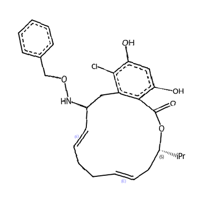 CC(C)[C@@H]1C/C=C/CC/C=C/C(NOCc2ccccc2)Cc2c(Cl)c(O)cc(O)c2C(=O)O1